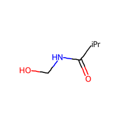 CC(C)C(=O)NCO